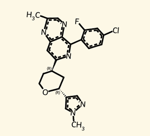 Cc1cnc2c(-c3ccc(Cl)cc3F)nc([C@@H]3CCO[C@@H](c4cnn(C)c4)C3)cc2n1